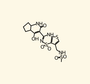 CS(=O)(=O)NCc1csc2c1S(=O)(=O)N=C(C1=C(O)C3CCCC3NC1=O)N2